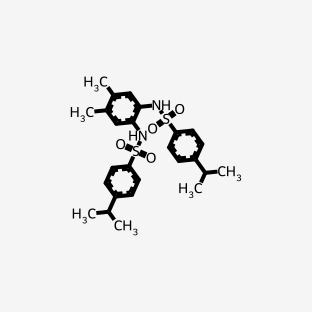 Cc1cc(NS(=O)(=O)c2ccc(C(C)C)cc2)c(NS(=O)(=O)c2ccc(C(C)C)cc2)cc1C